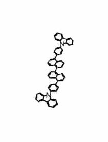 c1cc(-c2cccc3c(-c4ccc(-n5c6ccccc6c6ccccc65)cc4)cccc23)c2cccc(-c3ccc(-n4c5ccccc5c5ccccc54)cc3)c2c1